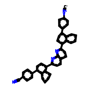 [C-]#[N+]c1ccc(-c2ccc(-c3ccc4ccc(-c5ccc(-c6ccc(C#N)cc6)c6ccccc56)nc4n3)c3ccccc23)cc1